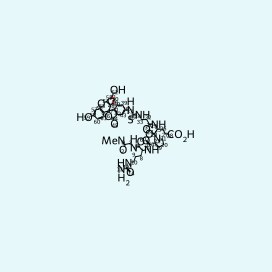 CNC(=O)CNC(=O)[C@H](CCCNC(N)=O)NC(=O)[C@@H]1CCCN1C(=O)[C@H](CCC(=O)O)NC(=O)CCNC(=S)Nc1ccc2c(c1)C(=O)OC21c2ccc(O)cc2Oc2cc(O)ccc21